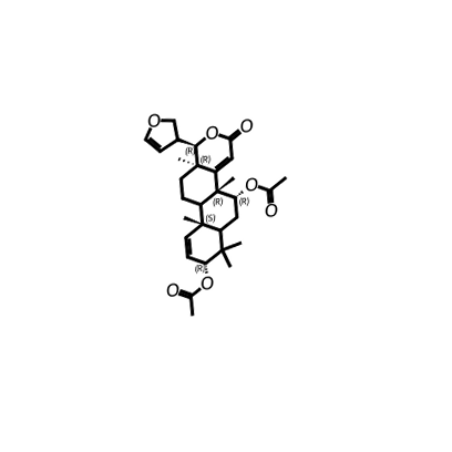 CC(=O)O[C@@H]1C=C[C@@]2(C)C(C[C@@H](OC(C)=O)[C@@]3(C)C4=CC(=O)O[C@H](C5C=COC5)[C@]4(C)CCC23)C1(C)C